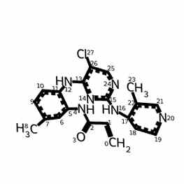 C=CC(=O)Nc1cc(C)ccc1Nc1nc(Nc2ccncc2C)ncc1Cl